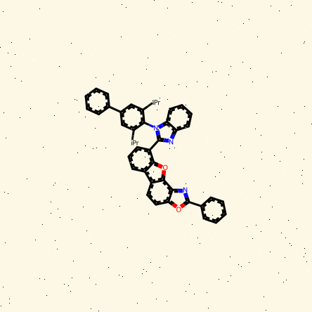 CC(C)c1cc(-c2ccccc2)cc(C(C)C)c1-n1c(-c2cccc3c2oc2c3ccc3oc(-c4ccccc4)nc32)nc2ccccc21